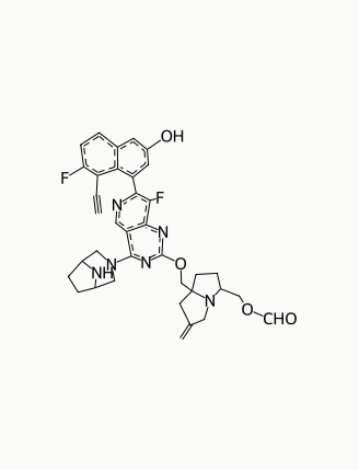 C#Cc1c(F)ccc2cc(O)cc(-c3ncc4c(N5CC6CCC(C5)N6)nc(OCC56CCC(COC=O)N5CC(=C)C6)nc4c3F)c12